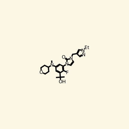 CCn1cc(Cn2ccn(-c3cc(N(C)C4CCOCC4)cc(C(C)(C)O)c3F)c2=O)cn1